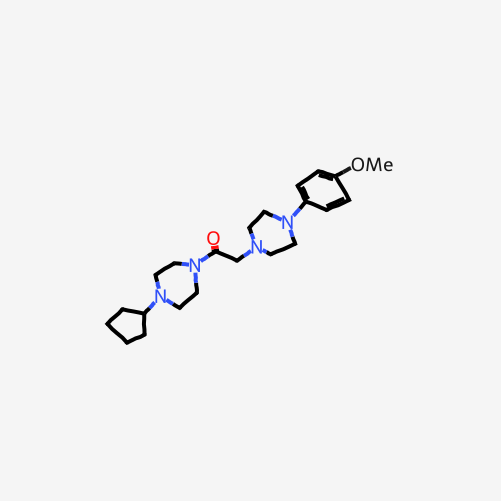 COc1ccc(N2CCN(CC(=O)N3CCN(C4CCCC4)CC3)CC2)cc1